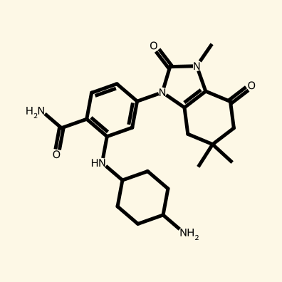 Cn1c2c(n(-c3ccc(C(N)=O)c(NC4CCC(N)CC4)c3)c1=O)CC(C)(C)CC2=O